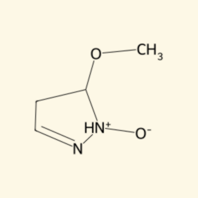 COC1CC=N[NH+]1[O-]